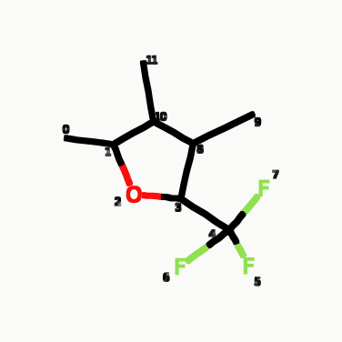 CC1OC(C(F)(F)F)C(C)C1C